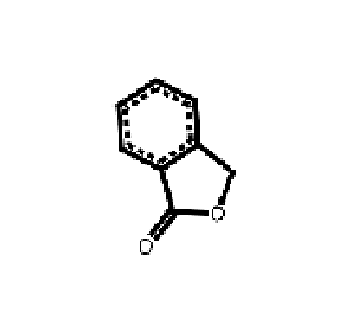 O=C1OCc2cc[c]cc21